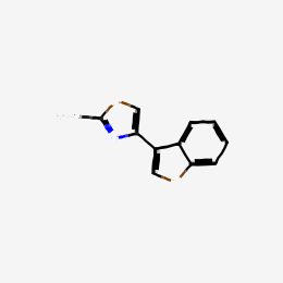 CNc1nc(-c2csc3ccccc23)cs1